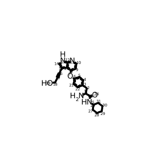 NC(Cc1ccc(Oc2ccnc3[nH]cc(C#CCO)c23)cc1)C(=O)NC1CCCCC1